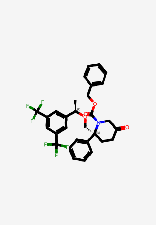 C[C@@H](OC[C@@]1(c2ccccc2)CCC(=O)CN1C(=O)OCc1ccccc1)c1cc(C(F)(F)F)cc(C(F)(F)F)c1